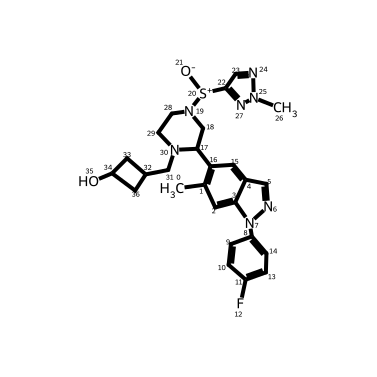 Cc1cc2c(cnn2-c2ccc(F)cc2)cc1C1CN([S+]([O-])c2cnn(C)n2)CCN1CC1CC(O)C1